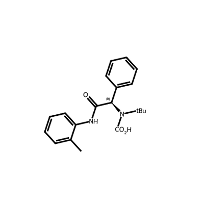 Cc1ccccc1NC(=O)[C@@H](c1ccccc1)N(C(=O)O)C(C)(C)C